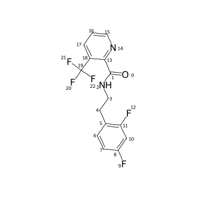 O=C(NCCc1ccc(F)cc1F)c1ncccc1C(F)(F)F